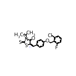 CN(C)N1C(=O)/C(=C\c2ccc(OCc3c(F)cccc3Cl)cc2)SC1=S